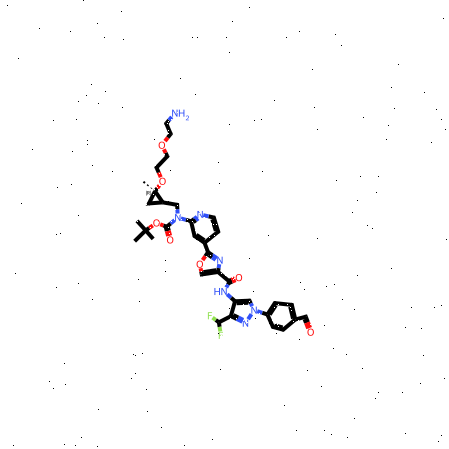 CC(C)(C)OC(=O)N(CC1C[C@@]1(C)OCCOCCN)c1cc(-c2nc(C(=O)Nc3cn(-c4ccc(C=O)cc4)nc3C(F)F)co2)ccn1